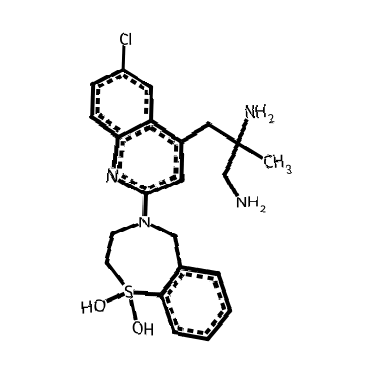 CC(N)(CN)Cc1cc(N2CCS(O)(O)c3ccccc3C2)nc2ccc(Cl)cc12